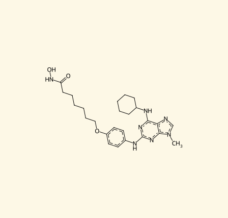 Cn1cnc2c(NC3CCCCC3)nc(Nc3ccc(OCCCCCCC(=O)NO)cc3)nc21